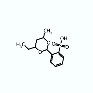 CCC1CC(C)OC(c2ccccc2S(=O)(=O)O)O1